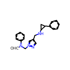 O=CN(Cn1cc(CNC2CC2c2ccccc2)cn1)c1ccccc1